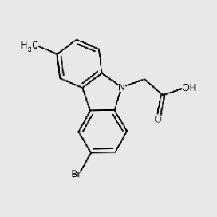 Cc1ccc2c(c1)c1cc(Br)ccc1n2CC(=O)O